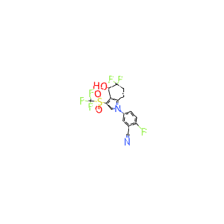 N#Cc1cc(-n2cc(S(=O)(=O)C(F)(F)F)c3c2CCC(F)(F)C3O)ccc1F